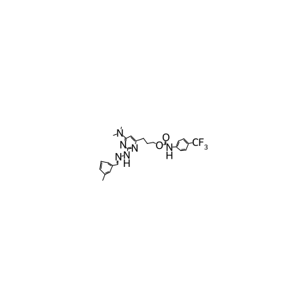 Cc1cccc(/C=N/Nc2nc(CCCOC(=O)Nc3ccc(C(F)(F)F)cc3)cc(N(C)C)n2)c1